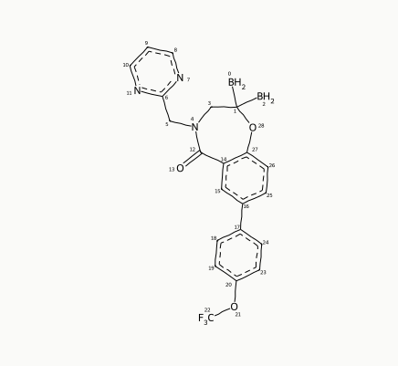 BC1(B)CN(Cc2ncccn2)C(=O)c2cc(-c3ccc(OC(F)(F)F)cc3)ccc2O1